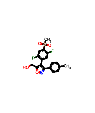 Cc1ccc(-c2noc(CO)c2-c2cc(F)c(S(C)(=O)=O)cc2F)cc1